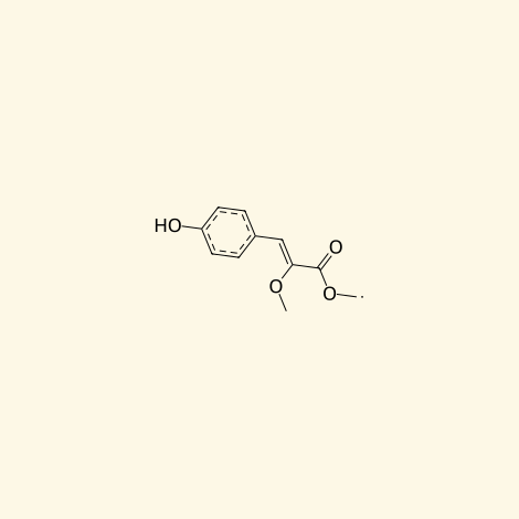 [CH2]OC(=O)C(=Cc1ccc(O)cc1)OC